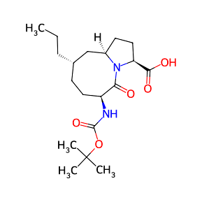 CCC[C@H]1CC[C@H](NC(=O)OC(C)(C)C)C(=O)N2[C@H](CC[C@H]2C(=O)O)C1